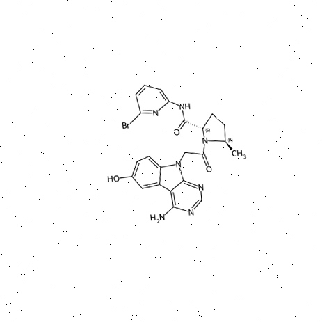 C[C@@H]1CC[C@@H](C(=O)Nc2cccc(Br)n2)N1C(=O)Cn1c2ccc(O)cc2c2c(N)ncnc21